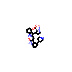 O=C1Nc2cccc(C3CCNCC3)c2C1=Cc1[nH]c2c(c1C1CCN[C@@H]1C(=O)O)CCCC2